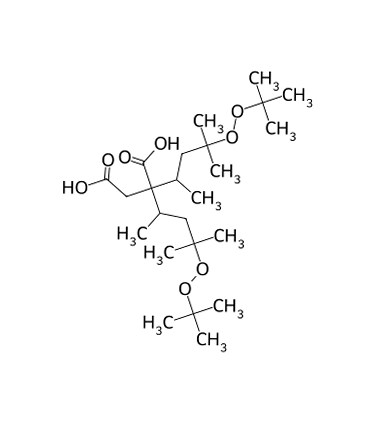 CC(CC(C)(C)OOC(C)(C)C)C(CC(=O)O)(C(=O)O)C(C)CC(C)(C)OOC(C)(C)C